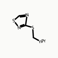 CCCCSc1n[c]sn1